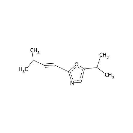 CC(C)C#Cc1ncc(C(C)C)o1